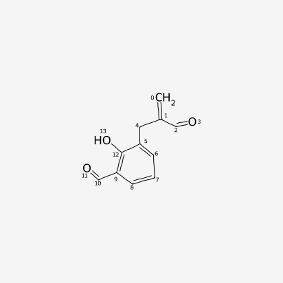 C=C(C=O)Cc1cccc(C=O)c1O